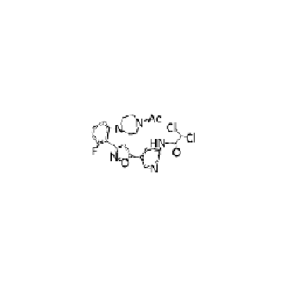 CC(=O)N1CCN(c2cccc(F)c2-c2cc(-c3cncc(NC(=O)C(Cl)Cl)c3)on2)CC1